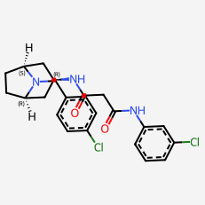 O=C(CC(=O)N[C@H]1C[C@H]2CC[C@@H](C1)N2Cc1ccc(Cl)cc1)Nc1cccc(Cl)c1